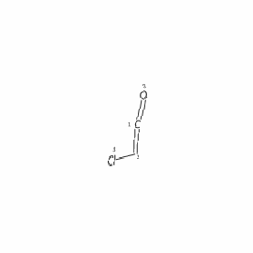 O=C=CCl